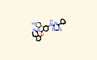 Cc1cccc2ccnc(N(C(=O)c3ccc(Nc4ncnc(-c5ccccc5)n4)cc3F)[C@@H]3CCCNC3)c12